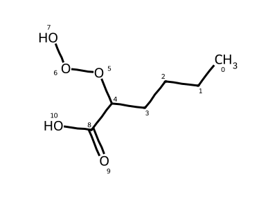 CCCCC(OOO)C(=O)O